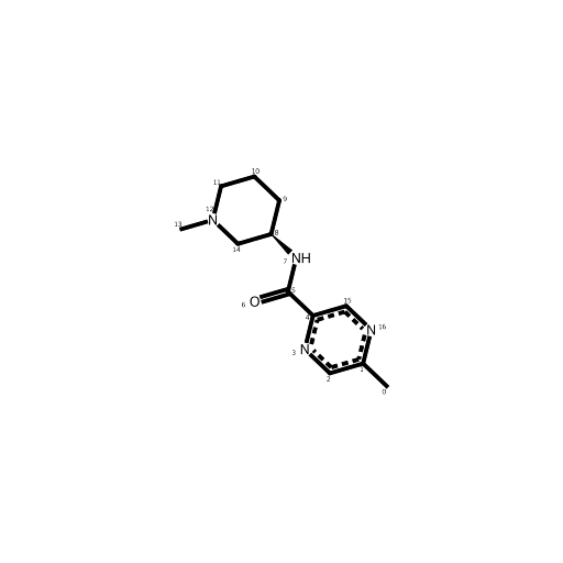 Cc1cnc(C(=O)N[C@@H]2CCCN(C)C2)cn1